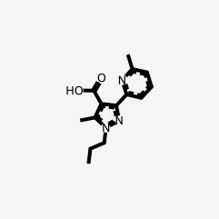 CCCn1nc(-c2cccc(C)n2)c(C(=O)O)c1C